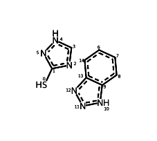 Sc1nc[nH]n1.c1ccc2[nH]nnc2c1